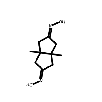 CC12CC(=NO)CC1(C)CC(=NO)C2